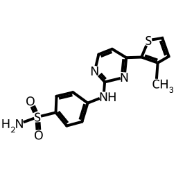 Cc1ccsc1-c1ccnc(Nc2ccc(S(N)(=O)=O)cc2)n1